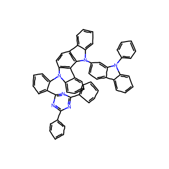 c1ccc(-c2nc(-c3ccccc3)nc(-c3ccccc3-n3c4ccccc4c4c3ccc3c5ccccc5n(-c5ccc6c7ccccc7n(-c7ccccc7)c6c5)c34)n2)cc1